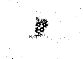 Cc1nc(C(C)(F)F)cn1-c1ccc(-c2cc(F)c(CO)c(S(C)(=O)=O)c2)cc1-c1ocnc1-c1ccc(OC(F)(F)F)cc1